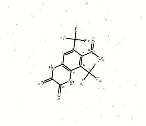 O=c1[nH]c2cc(C(F)(F)F)c([N+](=O)[O-])c(C(F)(F)F)c2[nH]c1=O